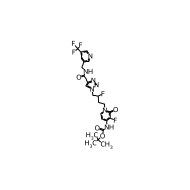 CC(C)(C)OC(=O)Nc1ccn(CCC(F)Cn2cc(C(=O)NCc3cncc(C(F)(F)F)c3)nn2)c(=O)c1F